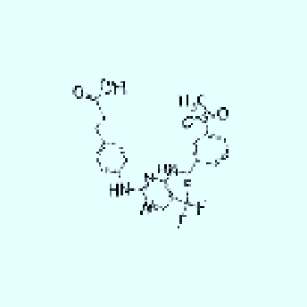 CS(=O)(=O)c1cccc(CNc2nc(Nc3ccc(CCC(=O)O)cc3)ncc2C(F)(F)F)c1